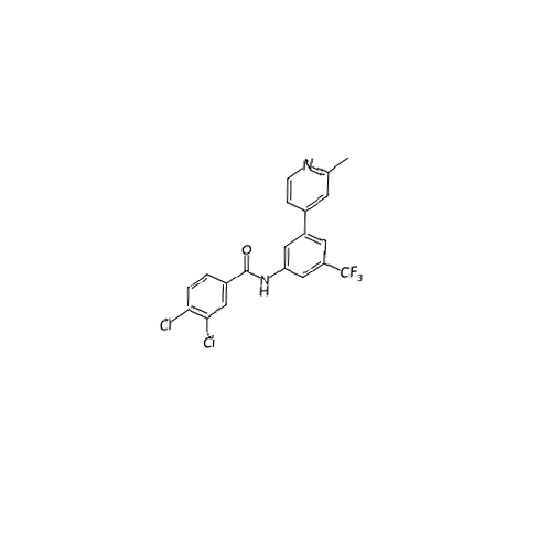 Cc1cc(-c2cc(NC(=O)c3ccc(Cl)c(Cl)c3)cc(C(F)(F)F)c2)ccn1